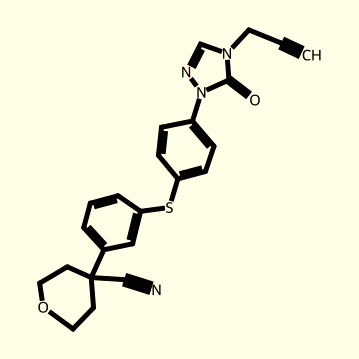 C#CCn1cnn(-c2ccc(Sc3cccc(C4(C#N)CCOCC4)c3)cc2)c1=O